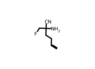 C=CCCC(N)(C#N)CF